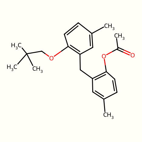 CC(=O)Oc1ccc(C)cc1Cc1cc(C)ccc1OCC(C)(C)C